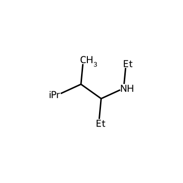 CCNC(CC)C(C)C(C)C